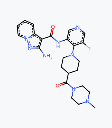 CN1CCN(C(=O)C2CCN(c3c(F)cncc3NC(=O)c3c(N)nn4ccccc34)CC2)CC1